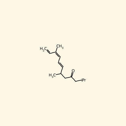 C=CC(C)=CC=CC(C)CC(=O)CC(C)C